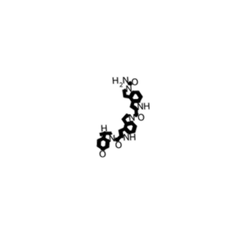 NC(=O)N1CCc2c1ccc1[nH]c(C(=O)N3CCc4c3ccc3[nH]c(C(=O)N5C[C@H]6C[C@]67C=CC(=O)C=C57)cc43)cc21